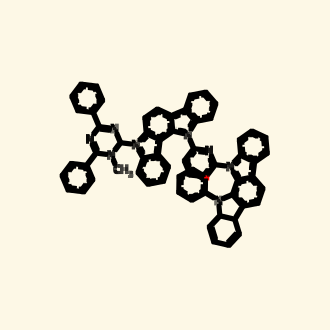 CN1C(c2ccccc2)=NC(c2ccccc2)=NC1n1c2ccccc2c2c3c(ccc21)c1ccccc1n3-c1cccc(-n2c3ccccc3c3ccc4c(c32)N(c2ccccc2)C2C=CC=CC42)n1